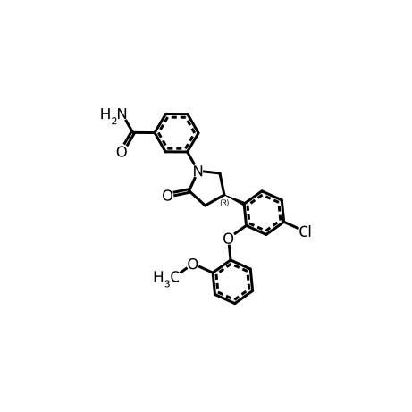 COc1ccccc1Oc1cc(Cl)ccc1[C@H]1CC(=O)N(c2cccc(C(N)=O)c2)C1